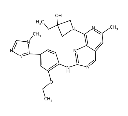 CCOc1cc(-c2nncn2C)ccc1Nc1ncc2cc(C)nc(N3CC(O)(CC)C3)c2n1